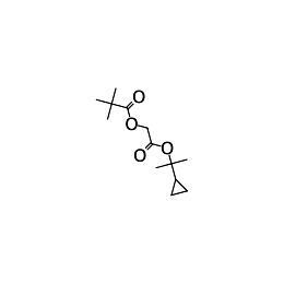 CC(C)(C)C(=O)OCC(=O)OC(C)(C)C1CC1